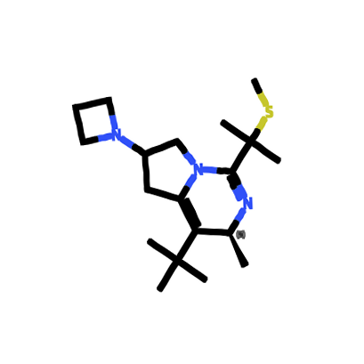 CSC(C)(C)C1=N[C@@H](C)C(C(C)(C)C)=C2CC(N3CCC3)CN12